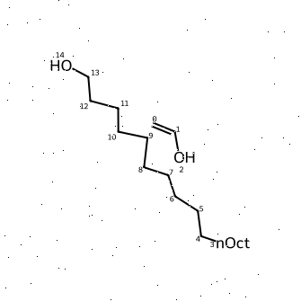 C=CO.CCCCCCCCCCCCCCCCCCO